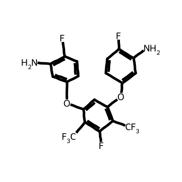 Nc1cc(Oc2cc(Oc3ccc(F)c(N)c3)c(C(F)(F)F)c(F)c2C(F)(F)F)ccc1F